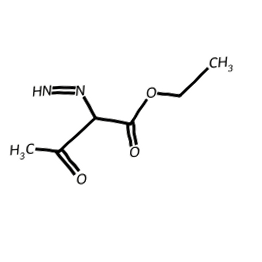 CCOC(=O)C(N=N)C(C)=O